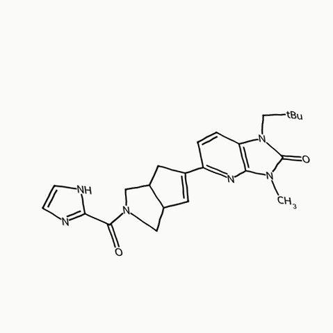 Cn1c(=O)n(CC(C)(C)C)c2ccc(C3=CC4CN(C(=O)c5ncc[nH]5)CC4C3)nc21